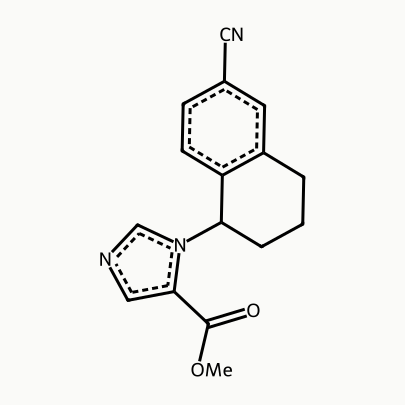 COC(=O)c1cncn1C1CCCc2cc(C#N)ccc21